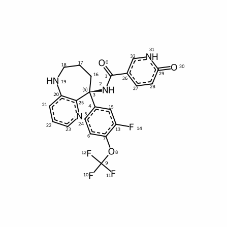 O=C(N[C@]1(c2ccc(OC(F)(F)F)c(F)c2)CCCNc2cccnc21)c1ccc(=O)[nH]c1